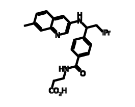 Cc1ccc2cc(NC(CC(C)C)c3ccc(C(=O)NCCC(=O)O)cc3)cnc2c1